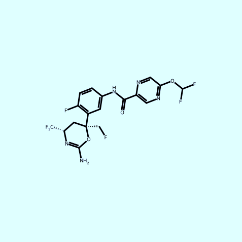 NC1=N[C@H](C(F)(F)F)C[C@@](CF)(c2cc(NC(=O)c3cnc(OC(F)F)cn3)ccc2F)O1